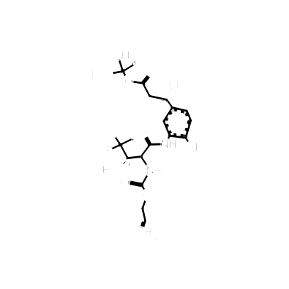 C=CCOC(=O)NC(C(=O)Nc1cc([C@@H](C)CC(=O)OC(C)(C)C)ccc1Cl)[C@@H](C)C(F)(F)F